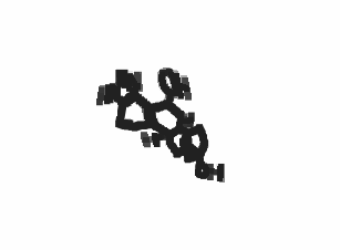 C[C@]12CC[C@@H]3c4ccc5[nH]nnc5c4[C@@H](O)C[C@H]3C13CCC2(O)CC3